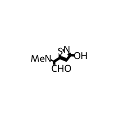 CN[C@H](C=O)c1cc(O)ns1